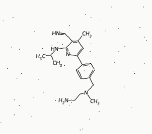 Cc1cc(-c2ccc(CN(C)CCN)cc2)nc(NC(C)C)c1C=N